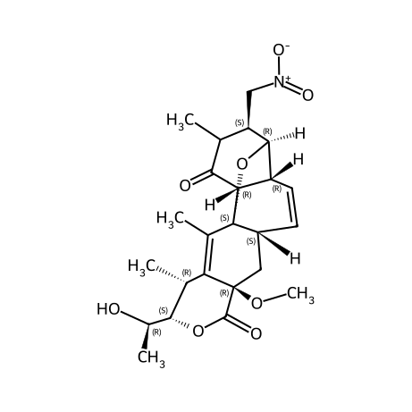 CO[C@]12C[C@H]3C=C[C@H]4[C@H]5O[C@]3(C(C)=C1[C@@H](C)[C@@H]([C@@H](C)O)OC2=O)[C@@H]4C(=O)C(C)[C@H]5C[N+](=O)[O-]